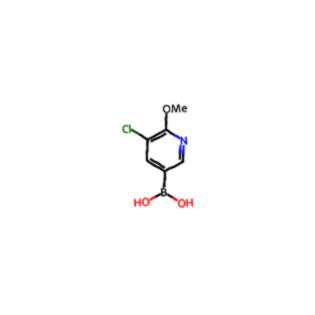 COc1ncc(B(O)O)cc1Cl